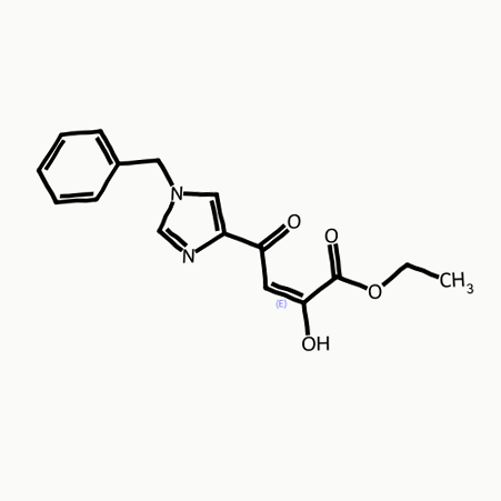 CCOC(=O)/C(O)=C\C(=O)c1cn(Cc2ccccc2)cn1